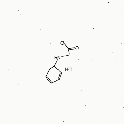 Cl.O=C(Cl)CNC1C=CC=CC1